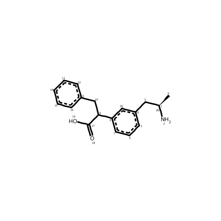 C[C@@H](N)Cc1cccc(C(Cc2ccccc2)C(=O)O)c1